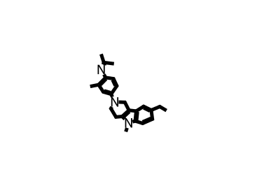 CCc1ccc2c(c1)c1c(n2C)CCN(c2ccc(N=C(C)C)c(C)c2)C1